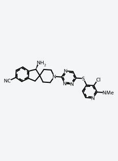 CNc1nccc(Sc2cnc(N3CCC4(CC3)Cc3cc(C#N)ccc3[C@H]4N)nn2)c1Cl